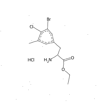 CCOC(=O)C(N)Cc1cc(C)c(Cl)c(Br)c1.Cl